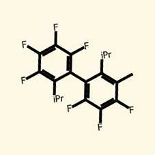 Cc1c(F)c(F)c(F)c(-c2c(F)c(F)c(F)c(F)c2C(C)C)c1C(C)C